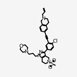 C=CCN1CCc2cc(C#Cc3cc(-c4nn(CCCN5CCOCC5)c5c4CN(S(C)(=O)=O)CC5)ccc3Cl)ccc2C1